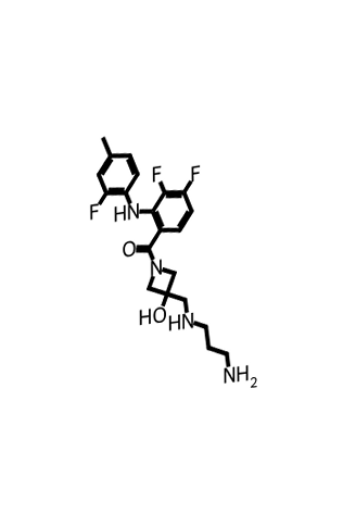 Cc1ccc(Nc2c(C(=O)N3CC(O)(CNCCCN)C3)ccc(F)c2F)c(F)c1